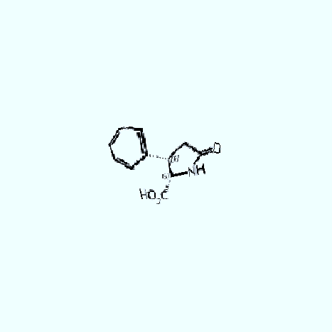 O=C1C[C@@H](c2ccccc2)[C@@H](C(=O)O)N1